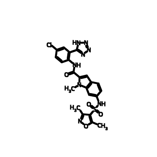 Cc1noc(C)c1S(=O)(=O)Nc1ccc2cc(C(=O)Nc3ccc(Cl)cc3-c3nnn[nH]3)n(C)c2c1